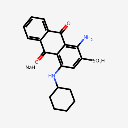 Nc1c(S(=O)(=O)O)cc(NC2CCCCC2)c2c1C(=O)c1ccccc1C2=O.[NaH]